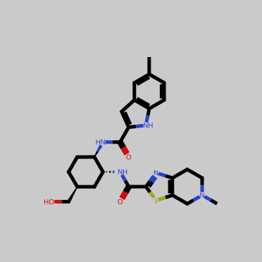 Cc1ccc2[nH]c(C(=O)N[C@@H]3CC[C@H](CO)C[C@H]3NC(=O)c3nc4c(s3)CN(C)CC4)cc2c1